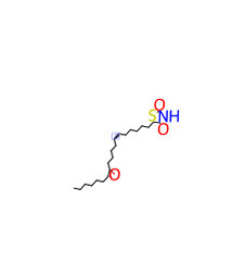 CCCCCCC1OC1CCCC/C=C\CCCCCC1SC(=O)NC1=O